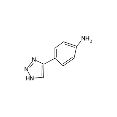 Nc1ccc(-c2c[nH]nn2)cc1